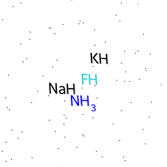 F.N.[KH].[NaH]